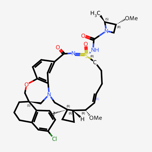 CO[C@H]1/C=C/CCC[S@@](=O)(NC(=O)N2C[C@@H](OC)[C@@H]2C)=NC(=O)c2ccc3c(c2)N(C[C@@H]2CC[C@H]21)C[C@@]1(CCCc2cc(Cl)ccc21)CO3